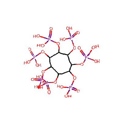 O=P(O)(O)OC1C(OP(=O)(O)O)C(OP(=O)(O)O)C(OP(=O)(O)O)C(OP(=O)(O)O)C(OP(=O)(O)O)C1OP(=O)(O)O